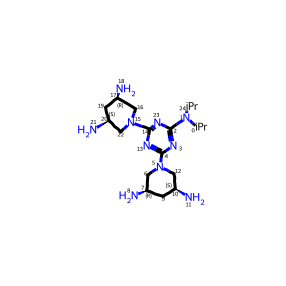 CC(C)N(c1nc(N2C[C@H](N)C[C@H](N)C2)nc(N2C[C@H](N)C[C@H](N)C2)n1)C(C)C